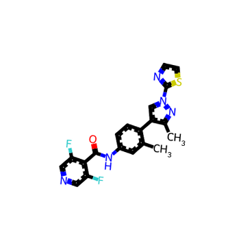 Cc1cc(NC(=O)c2c(F)cncc2F)ccc1-c1cn(-c2nccs2)nc1C